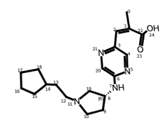 CC(=Cc1cnc(N[C@@H]2CCN(CCC3CCCC3)C2)cn1)C(=O)O